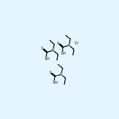 CCN(CC)C(=S)S.CCN(CC)C(=S)S.CCN(CC)C(=S)S.[Cr]